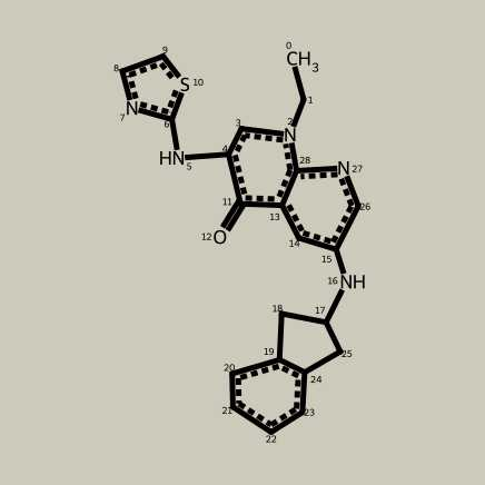 CCn1cc(Nc2nccs2)c(=O)c2cc(NC3Cc4ccccc4C3)cnc21